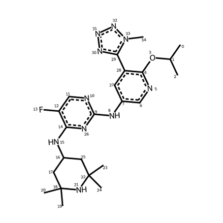 CC(C)Oc1ncc(Nc2ncc(F)c(NC3CC(C)(C)NC(C)(C)C3)n2)cc1-c1nnnn1C